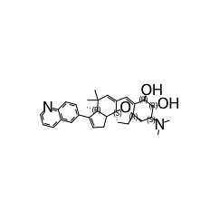 CN(C)[C@H]1C[C@@]23CC[C@@]4(O2)C(=CC(C)(C)[C@]2(C)C(c5ccc6ncccc6c5)=CCC42)C=C3[C@@H](O)[C@@H]1O